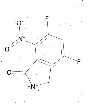 O=C1NCc2c(F)cc(F)c([N+](=O)[O-])c21